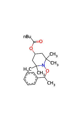 CCCCC(=O)OC1CC(C)(C)N(OC(C)c2ccccc2)C(C)(C)C1